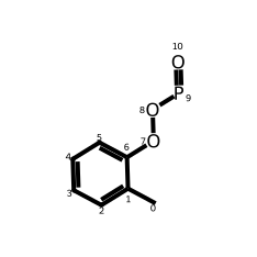 Cc1ccccc1OOP=O